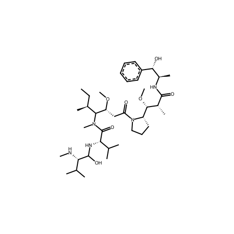 CC[C@H](C)C([C@@H](CC(=O)N1CCC[C@H]1[C@H](OC)[C@@H](C)C(=O)N[C@H](C)[C@@H](O)c1ccccc1)OC)N(C)C(=O)[C@@H](NC(O)[C@@H](NC)C(C)C)C(C)C